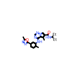 CCC(CC)NC(=O)c1cn2ncnc(Nc3cc(-c4nnc(C)o4)ccc3C)c2c1C